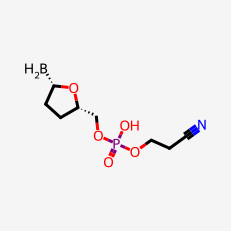 B[C@H]1CC[C@@H](COP(=O)(O)OCCC#N)O1